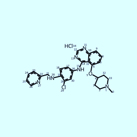 CN1CCC(Oc2cccc3ncnc(Nc4ccc(NCc5ccccn5)c(Cl)c4)c23)CC1.Cl